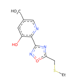 CCSCc1nc(-c2ncc(C(=O)O)cc2O)no1